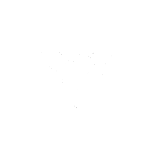 CCN(CC)CCC1C(=O)C2=NC(C)=NC2=C2C=NC(C)(C)C(=O)C21.Cl